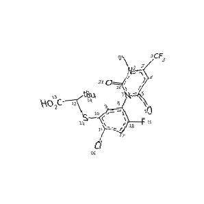 Cn1c(C(F)(F)F)cc(=O)n(-c2cc(SC(C(=O)O)C(C)(C)C)c(Cl)cc2F)c1=O